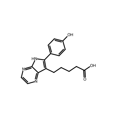 O=C(O)CCCCc1c(-c2ccc(O)cc2)[nH]c2nccnc12